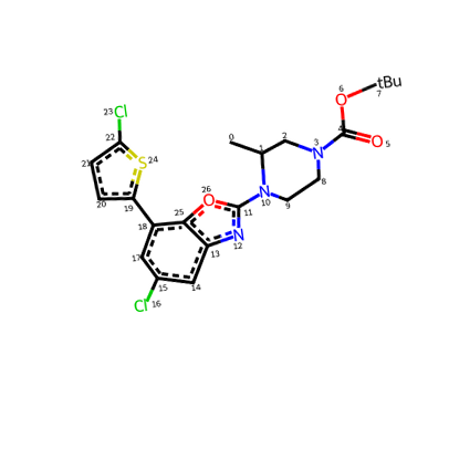 CC1CN(C(=O)OC(C)(C)C)CCN1c1nc2cc(Cl)cc(-c3ccc(Cl)s3)c2o1